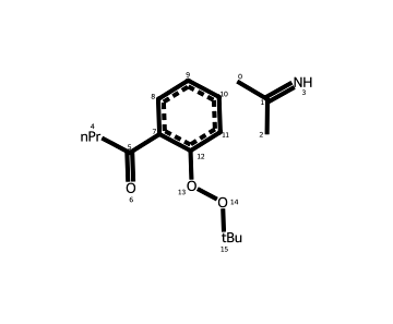 CC(C)=N.CCCC(=O)c1ccccc1OOC(C)(C)C